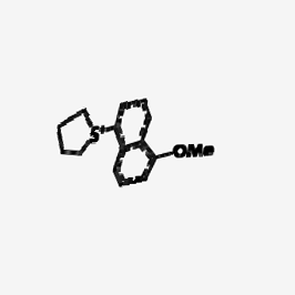 COc1cccc2c([S+]3CCCC3)cccc12